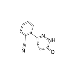 N#Cc1ccccc1-c1ccc(=O)[nH]n1